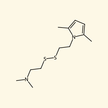 Cc1ccc(C)n1CCSSCCN(C)C